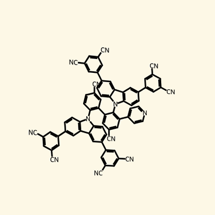 N#Cc1cc(C#N)cc(-c2ccc3c(c2)c2cc(-c4cc(C#N)cc(C#N)c4)ccc2n3-c2ccc(C#N)cc2-c2cc(C#N)cc(-c3ccncc3)c2-n2c3ccc(-c4cc(C#N)cc(C#N)c4)cc3c3cc(-c4cc(C#N)cc(C#N)c4)ccc32)c1